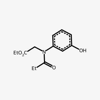 CCOC(=O)CN(C(=O)CC)c1cccc(O)c1